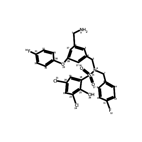 NCc1cc(CN(Cc2ccc(F)cc2)S(=O)(=O)c2cc(Cl)cc(Cl)c2O)cc(Oc2ccc(F)cc2)c1